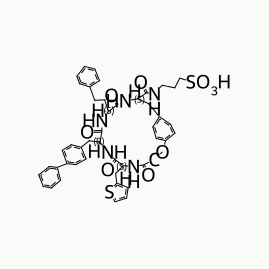 O=C1COc2ccc(cc2)C[C@@H](C(=O)NCCCS(=O)(=O)O)NC(=O)[C@H](CCc2ccccc2)NC(=O)[C@@H](Cc2ccc(-c3ccccc3)cc2)NC(=O)[C@H](Cc2cccs2)N1